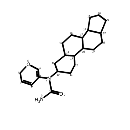 NC(=O)N(C1=COCC=C1)C1CCC2C(CCC3C4CCCC4CCC23)C1